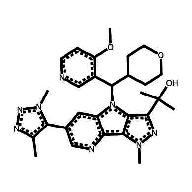 COc1ccncc1C(C1CCOCC1)n1c2cc(-c3c(C)nnn3C)cnc2c2c1c(C(C)(C)O)nn2C